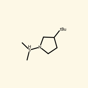 C[SH](C)N1CCC(C(C)(C)C)C1